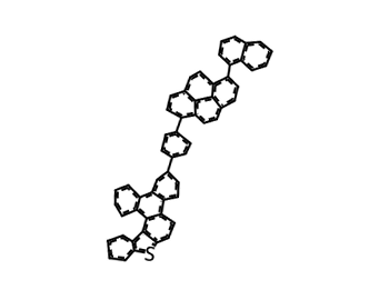 c1ccc2c(-c3ccc4ccc5c(-c6ccc(-c7ccc8c(c7)c7ccccc7c7c8ccc8sc9ccccc9c87)cc6)ccc6ccc3c4c65)cccc2c1